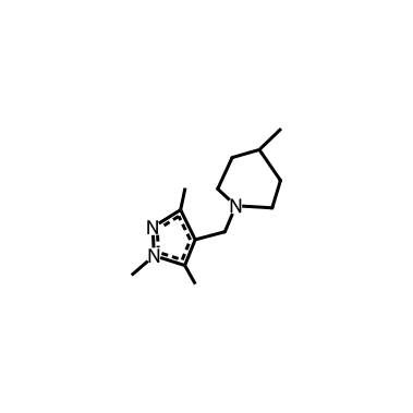 Cc1nn(C)c(C)c1CN1CCC(C)CC1